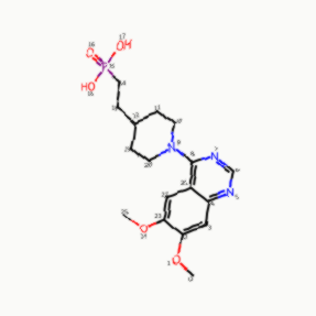 COc1cc2ncnc(N3CCC(CCP(=O)(O)O)CC3)c2cc1OC